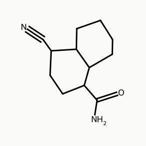 N#CC1CCC(C(N)=O)C2CCCCC12